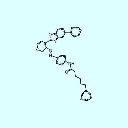 O=C(CCCCCc1ccccc1)Nc1ccc(N=NC2=C(c3nc4cc(-c5ccccc5)ccc4o3)C=COC2)cc1